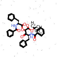 CC(C)(C)OC(=O)C(OC(=O)[C@H](Cc1ccccc1)NC(=O)c1ccccc1)C(=O)[C@H](Cc1ccccc1)NC(=O)c1ccccc1